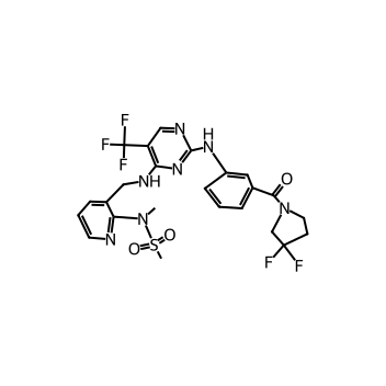 CN(c1ncccc1CNc1nc(Nc2cccc(C(=O)N3CCC(F)(F)C3)c2)ncc1C(F)(F)F)S(C)(=O)=O